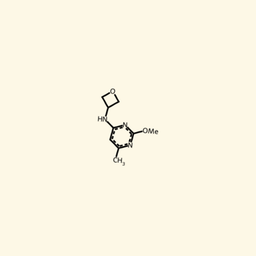 COc1nc(C)cc(NC2COC2)n1